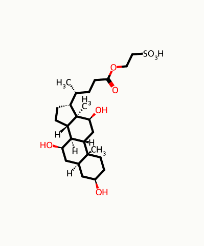 C[C@H](CCC(=O)OCCS(=O)(=O)O)[C@H]1CC[C@H]2[C@@H]3[C@H](O)C[C@@H]4C[C@H](O)CC[C@]4(C)[C@H]3C[C@H](O)[C@]12C